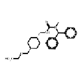 CN(C(=O)NC[C@H]1CC[C@H](COCC(=O)O)CC1)C(c1ccccc1)c1ccccc1